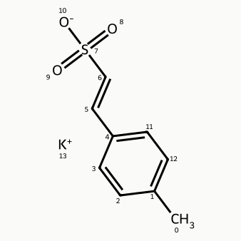 Cc1ccc(C=CS(=O)(=O)[O-])cc1.[K+]